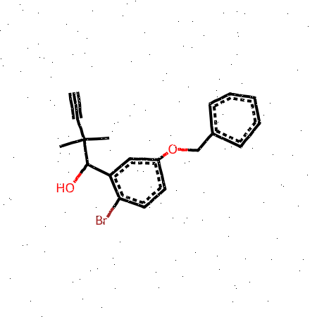 C#CC(C)(C)C(O)c1cc(OCc2ccccc2)ccc1Br